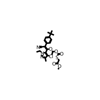 CCn1nc(C)c(Cl)c1/C(OC(C)OC(=O)SCC(=O)OC)=C(\C#N)c1ccc(C(C)(C)C)cc1